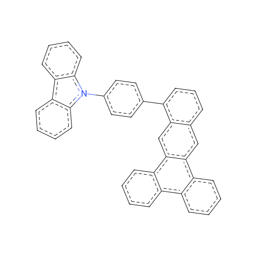 c1cc(-c2ccc(-n3c4ccccc4c4ccccc43)cc2)c2cc3c4ccccc4c4ccccc4c3cc2c1